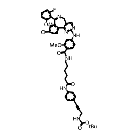 COc1cc(Nc2ncc3c(n2)-c2ccc(Cl)cc2C(c2c(F)cccc2OC)=NC3)ccc1C(=O)NCCCCCC(=O)Nc1ccc(C#CCNC(=O)OC(C)(C)C)cc1